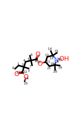 CCC(C)(CC(C)(C)C(=O)OC1CC(C)(C)N(O)C(C)(C)C1)C(=O)OC